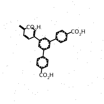 C=C(/C=C\C(=C/C)c1cc(-c2ccc(C(=O)O)cc2)cc(-c2ccc(C(=O)O)cc2)c1)C(=O)O